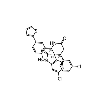 O=C1C[C@@H](c2cccc(Cl)c2)[C@]2(C(=O)Nc3cc(Cl)ccc32)[C@@H](c2cc(-c3cccs3)ccc2O)N1